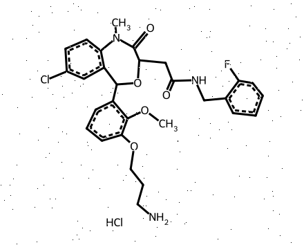 COc1c(OCCCN)cccc1C1OC(CC(=O)NCc2ccccc2F)C(=O)N(C)c2ccc(Cl)cc21.Cl